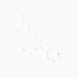 CCOC(=O)P(C)(=O)SC(N=C(OCC)OCC)=NNc1ccccc1N